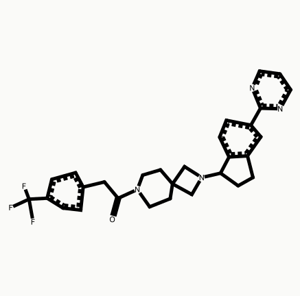 O=C(Cc1ccc(C(F)(F)F)cc1)N1CCC2(CC1)CN(C1CCc3cc(-c4ncccn4)ccc31)C2